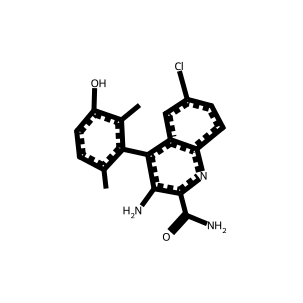 Cc1ccc(O)c(C)c1-c1c(N)c(C(N)=O)nc2ccc(Cl)cc12